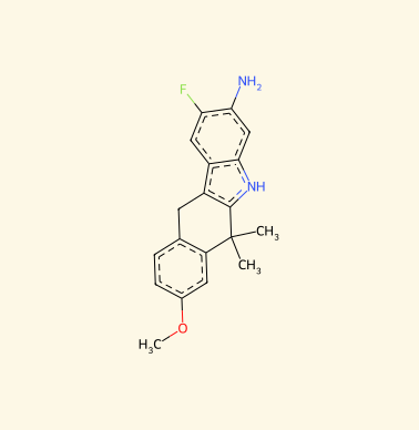 COc1ccc2c(c1)C(C)(C)c1[nH]c3cc(N)c(F)cc3c1C2